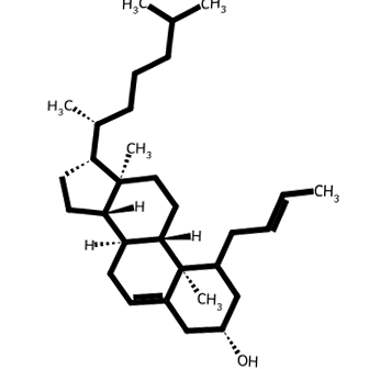 CC=CCC1C[C@H](O)CC2=CC[C@H]3[C@@H]4CC[C@H]([C@H](C)CCCC(C)C)[C@@]4(C)CC[C@@H]3[C@]21C